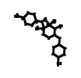 CCC1C(CC2CCC(O)CC2)CCC(CC)(CC2CCC(O)CC2)C1(CC)CC